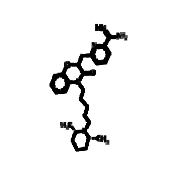 C[C@@H]1CCC[C@H](C)N1CCCCCN1C(=O)C(Cc2cccc(C(=N)N)n2)Oc2ccccc21